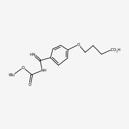 CC(C)(C)OC(=O)NC(=N)c1ccc(OCCCC(=O)O)cc1